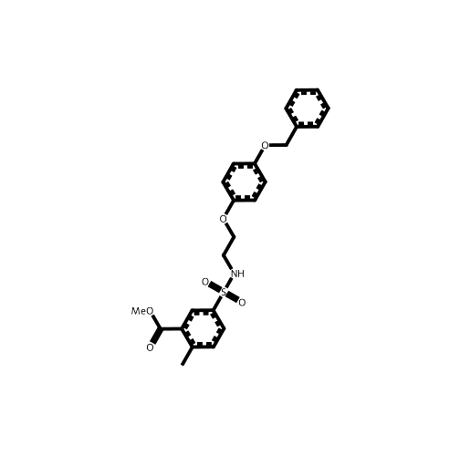 COC(=O)c1cc(S(=O)(=O)NCCOc2ccc(OCc3ccccc3)cc2)ccc1C